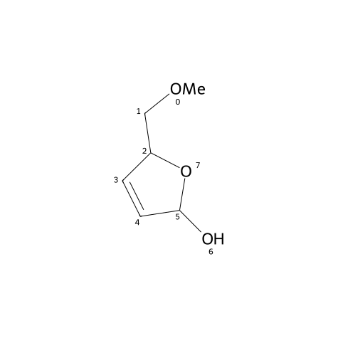 COCC1C=CC(O)O1